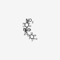 Cc1ccc(C2CN2S(=O)(=O)c2ccc([N+](=O)[O-])cc2)cc1